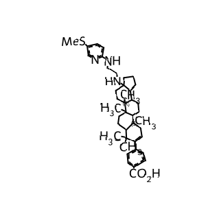 CSc1ccc(NCCNC23CCCC2C2CCC4C(C)(CCC5C(C)(C)C(c6ccc(C(=O)O)cc6)=CC[C@@]54C)[C@]2(C)CC3)nc1